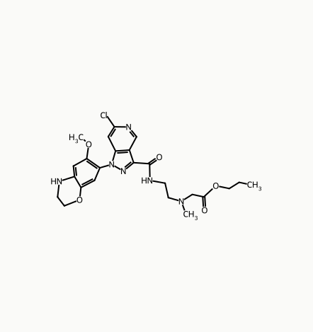 CCCOC(=O)CN(C)CCNC(=O)c1nn(-c2cc3c(cc2OC)NCCO3)c2cc(Cl)ncc12